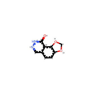 O=c1[nH]ncc2ccc3c(c12)OCO3